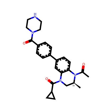 CC(=O)N1c2ccc(-c3ccc(C(=O)N4CCNCC4)cc3)cc2N(C(=O)C2CC2)C[C@@H]1C